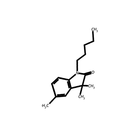 [CH2]c1ccc2c(c1)C(C)(C)C(=O)N2CCCCC